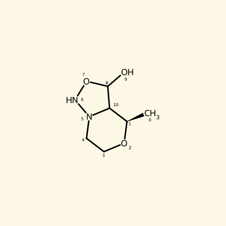 C[C@H]1OCCN2NOC(O)C12